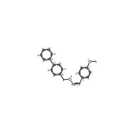 COc1ccc(/[C]=N\OCc2ccc(-c3ccccc3)cc2)cc1